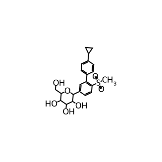 CS(=O)(=O)c1ccc(C2OC(CO)C(O)C(O)C2O)cc1-c1ccc(C2CC2)cc1